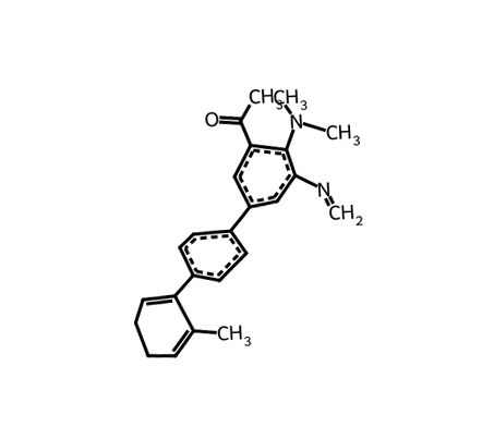 C=Nc1cc(-c2ccc(C3=CCCC=C3C)cc2)cc(C(C)=O)c1N(C)C